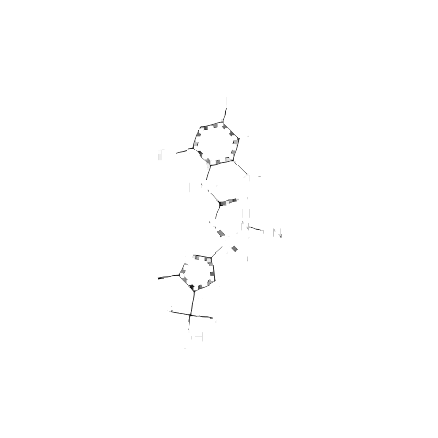 Cc1oc([S@](=O)(=NC(=O)Nc2c(C(C)C)cc(F)cc2C(C)C)NC#N)cc1C(C)(C)O